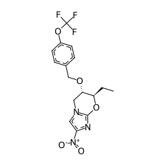 CC[C@H]1Oc2nc([N+](=O)[O-])cn2C[C@@H]1OCc1ccc(OC(F)(F)F)cc1